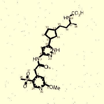 COc1cc(CC(=O)Nc2cc(C3CCC(CC[C@H](C)NC(=O)O)C3)[nH]n2)c(S(C)(=O)=O)cn1